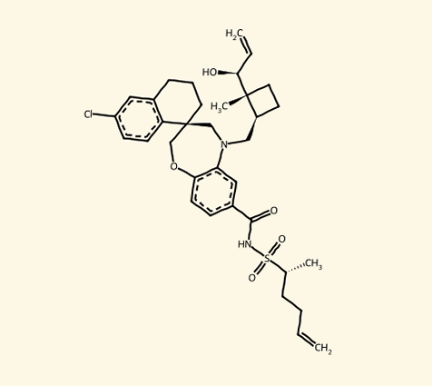 C=CCC[C@@H](C)S(=O)(=O)NC(=O)c1ccc2c(c1)N(C[C@@H]1CC[C@@]1(C)[C@@H](O)C=C)C[C@@]1(CCCc3cc(Cl)ccc31)CO2